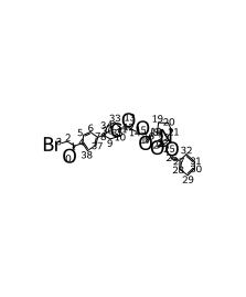 O=C(CBr)c1ccc(C23CCC(C(=O)COC(=O)[C@@H]4CCCN4C(=O)OCc4ccccc4)(CC2)CC3)cc1